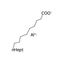 CCCCCCCCCCCCCCCC(=O)[O-].[Al+]